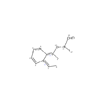 C/C=c1/cccn/c1=C(/C)OB(I)C=O